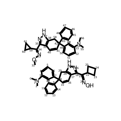 CN(C)c1cccc(C2(c3ccccc3)C=Cc3c(C(=NO)C4CCC4)n[nH]c3C2)c1.CON=C(c1n[nH]c2c1C=CC(c1ccccc1)(c1cccc(N(C)C)c1)C2)C1CC1